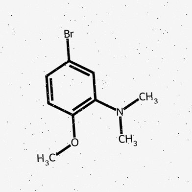 COc1ccc(Br)cc1N(C)C